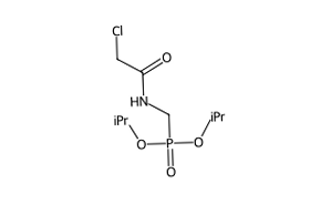 CC(C)OP(=O)(CNC(=O)CCl)OC(C)C